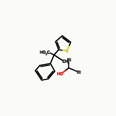 CC(C(=O)O)(c1ccccc1)c1cccs1.CCC(O)CC